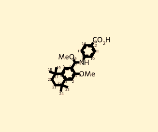 COc1cc2c(cc1C(Nc1ccc(C(=O)O)cc1)OC)C(C)(C)CCC2(C)C